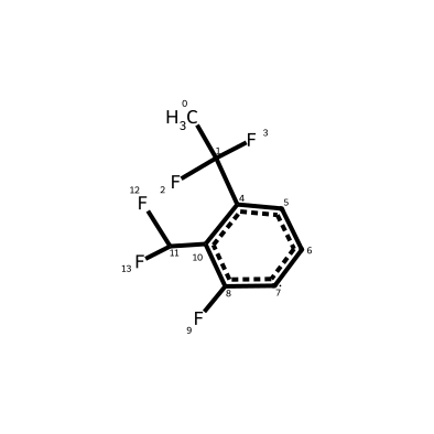 CC(F)(F)c1cc[c]c(F)c1C(F)F